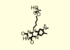 Cc1cc2nc3c(=O)[nH]c(=O)nc-3n(CCCCCOP(C)(=O)O)c2cc1N(C)C